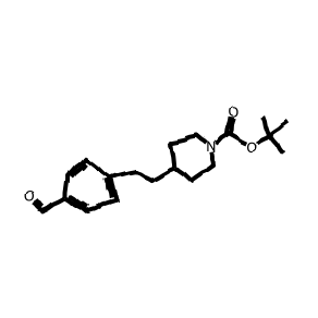 CC(C)(C)OC(=O)N1CCC(CCc2ccc(C=O)cc2)CC1